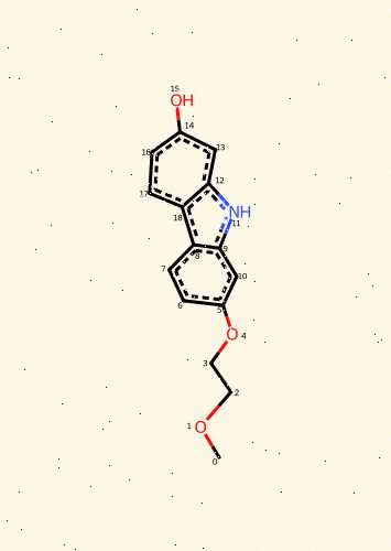 COCCOc1ccc2c(c1)[nH]c1cc(O)ccc12